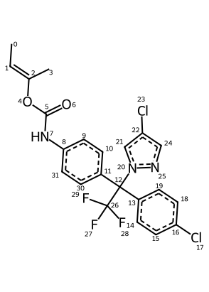 C/C=C(\C)OC(=O)Nc1ccc(C(c2ccc(Cl)cc2)(n2cc(Cl)cn2)C(F)(F)F)cc1